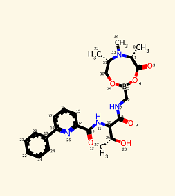 C[C@@H]1C(=O)OB(CNC(=O)C(NC(=O)c2cccc(-c3ccccc3)n2)[C@@H](C)O)OC[C@H](C)N1C